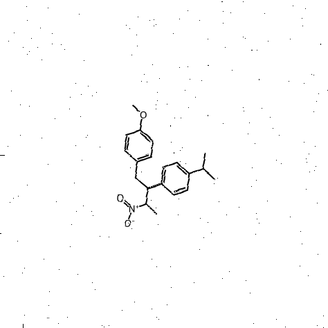 COc1ccc(CC(c2ccc(C(C)C)cc2)C(C)[N+](=O)[O-])cc1